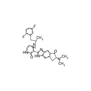 CC(Cc1cc(F)ccc1F)Nc1cc[nH]c(=O)c1-c1nc2cc3c(cc2[nH]1)CC(N(C)C)C3=O